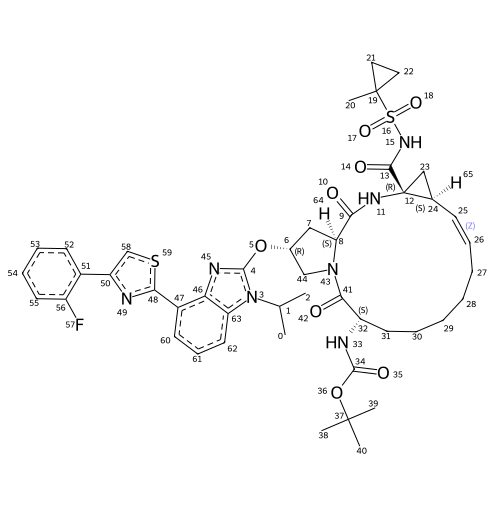 CC(C)n1c(O[C@@H]2C[C@H]3C(=O)N[C@]4(C(=O)NS(=O)(=O)C5(C)CC5)C[C@H]4/C=C\CCCCC[C@H](NC(=O)OC(C)(C)C)C(=O)N3C2)nc2c(-c3nc(-c4ccccc4F)cs3)cccc21